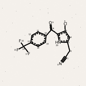 N#CCc1cc(Cl)c(C(=O)c2ccc(C(F)(F)F)cc2)[nH]1